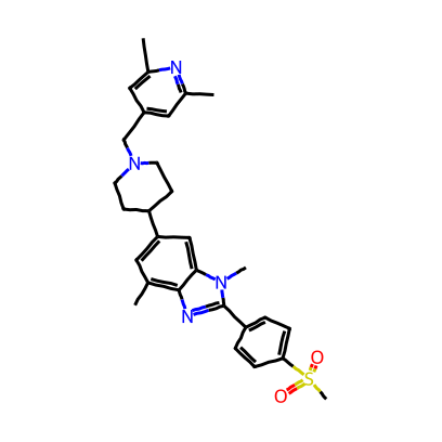 Cc1cc(CN2CCC(c3cc(C)c4nc(-c5ccc(S(C)(=O)=O)cc5)n(C)c4c3)CC2)cc(C)n1